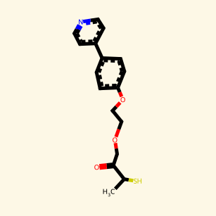 CC(S)C(=O)COCCOc1ccc(-c2ccncc2)cc1